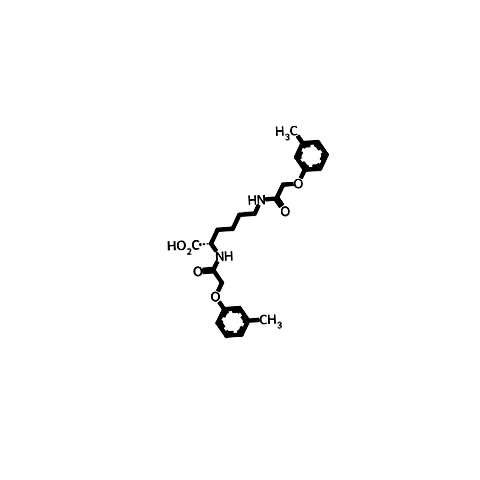 Cc1cccc(OCC(=O)NCCCC[C@H](NC(=O)COc2cccc(C)c2)C(=O)O)c1